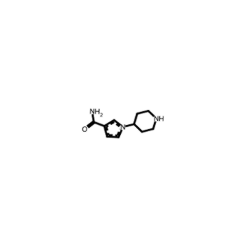 NC(=O)c1ccn(C2CCNCC2)c1